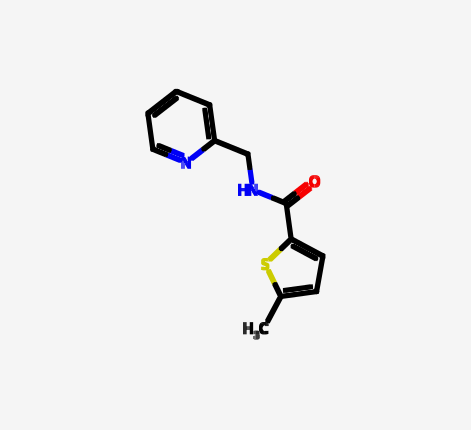 Cc1ccc(C(=O)NCc2ccccn2)s1